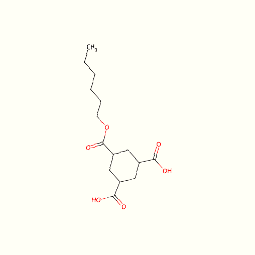 CCCCCCOC(=O)C1CC(C(=O)O)CC(C(=O)O)C1